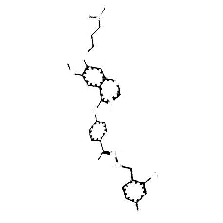 COc1cc2c(Nc3ccc(C(C)=NOCc4ccc(F)cc4Cl)cc3)ncnc2cc1OCCCN(C)C